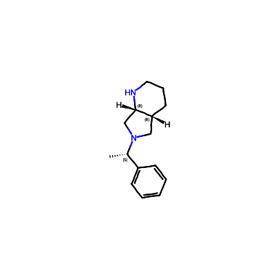 C[C@@H](c1ccccc1)N1C[C@H]2CCCN[C@H]2C1